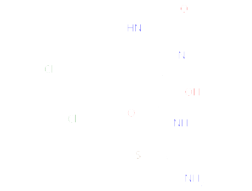 CN1C(=O)Nc2cc(Cl)c(Cl)cc2C1(O)C(=O)NC(N)=S